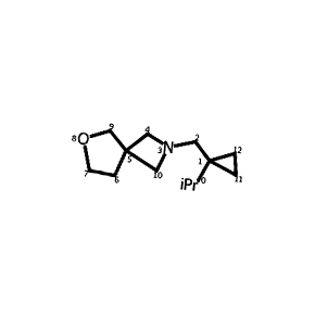 CC(C)C1(CN2CC3(CCOC3)C2)CC1